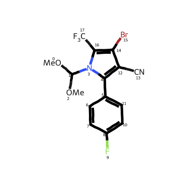 COC(OC)n1c(-c2ccc(F)cc2)c(C#N)c(Br)c1C(F)(F)F